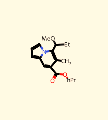 CCCOC(=O)c1cc2cccn2c(C(CC)OC)c1C